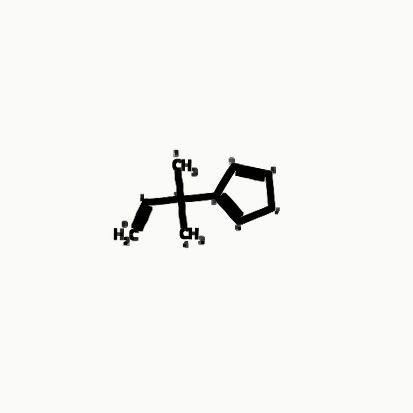 C=CC(C)(C)C1=[C]CC=C1